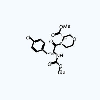 COC(=O)[C@@H]1COCCN1C(=O)[C@@H](Cc1ccc(Cl)cc1)NC(=O)OC(C)(C)C